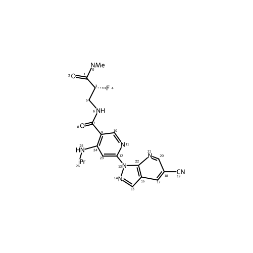 CNC(=O)[C@H](F)CNC(=O)c1cnc(-n2ncc3cc(C#N)cnc32)cc1NC(C)C